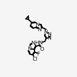 O=C(NCc1cn(Cc2cn3cc(C4CC4)ccc3n2)nn1)c1ncn2ccc(Cl)c(F)c12